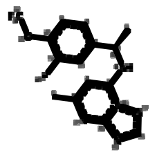 Cc1cc(N[C@H](C)c2ccc(OC(F)(F)F)c(F)c2)n2ncnc2n1